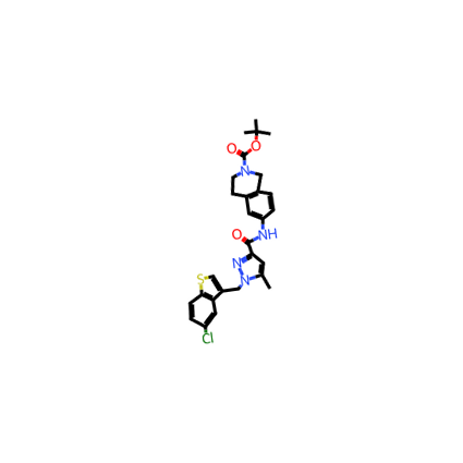 Cc1cc(C(=O)Nc2ccc3c(c2)CCN(C(=O)OC(C)(C)C)C3)nn1Cc1csc2ccc(Cl)cc12